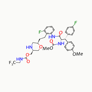 COC(=O)N[C@H](C(=O)Nc1cccc(F)c1CC[C@@H]1CN[C@H](COC(=O)NCC(F)(F)F)CO1)[C@H](c1ccc(F)cc1)c1ccc(OC)cc1